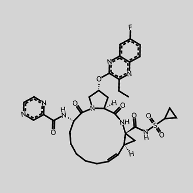 CCc1nc2ccc(F)cc2nc1O[C@@H]1C[C@H]2C(=O)N[C@]3(C(=O)NS(=O)(=O)C4CC4)C[C@H]3C=CCCCCC[C@H](NC(=O)c3cnccn3)C(=O)N2C1